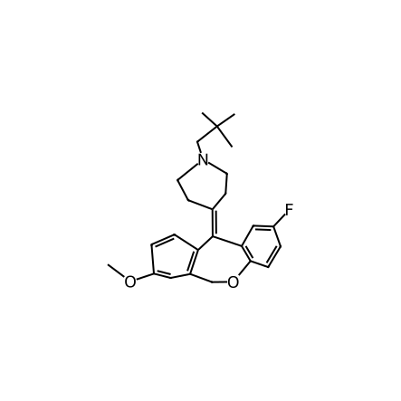 COc1ccc2c(c1)COc1ccc(F)cc1C2=C1CCN(CC(C)(C)C)CC1